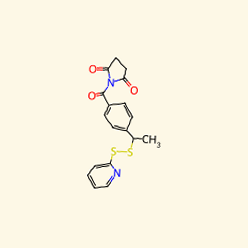 CC(SSc1ccccn1)c1ccc(C(=O)N2C(=O)CCC2=O)cc1